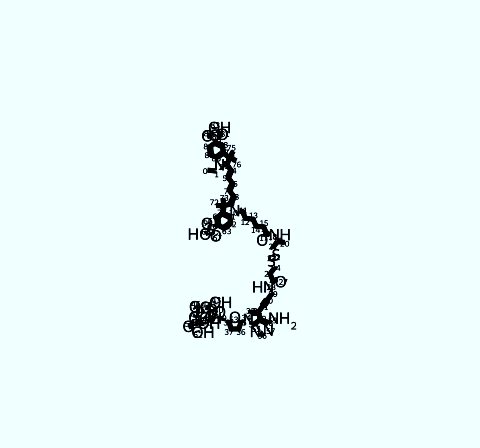 CC[N+]1=C(/C=C/C=C/C=C2/N(CCCCCC(=O)NC(C)CSSCCC(=O)NCC#Cc3cn([C@H]4CC[C@@H](COP(=O)(O)OP(=O)(O)OP(=O)(O)O)O4)c4ncnc(N)c34)c3ccc(S(=O)(=O)O)cc3C2(C)C)C(C)(C)c2cc(S(=O)(=O)O)ccc21